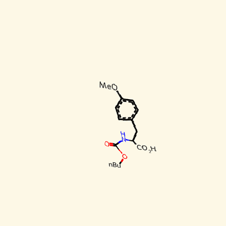 CCCCOC(=O)NC(Cc1ccc(OC)cc1)C(=O)O